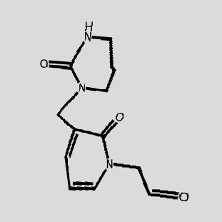 O=CCn1cccc(CN2CCCNC2=O)c1=O